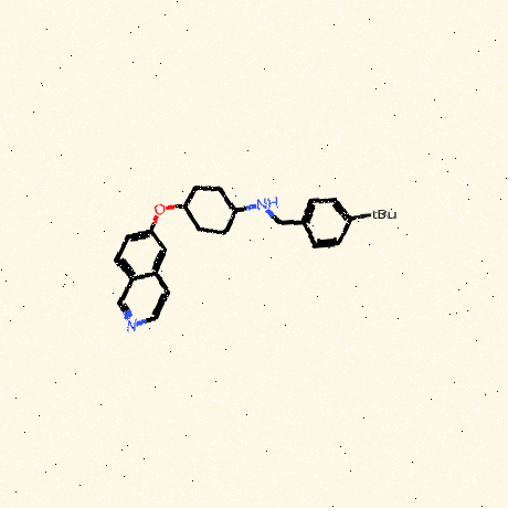 CC(C)(C)c1ccc(CNC2CCC(Oc3ccc4cnccc4c3)CC2)cc1